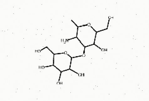 CC1OC(CO)C(O)C(OC2OC(CO)C(O)C(O)C2O)C1N